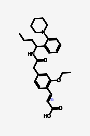 CCCC(NC(=O)Cc1ccc(/C=C/C(=O)O)c(OCC)c1)c1ccccc1N1CCCCC1